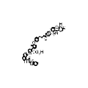 Cc1c(Oc2ccc(CCCC(=O)N3CCN(c4cccc5c(C6CCC(=O)NC6=O)nn(C)c45)CC3)cc2)cccc1-c1ccc(N2CCc3cccc(C(=O)Nc4nc5ccccc5s4)c3C2)nc1C(=O)O